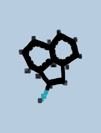 FC1=[C]c2cccc3cccc1c23